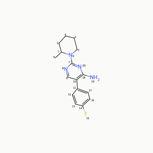 CC1CCCCN1c1ncc(-c2ccc(F)cc2)c(N)n1